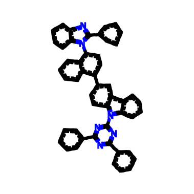 c1ccc(-c2nc(-c3ccccc3)nc(-n3c4ccccc4c4cc(-c5ccc(-n6c(-c7ccccc7)nc7ccccc76)c6ccccc56)ccc43)n2)cc1